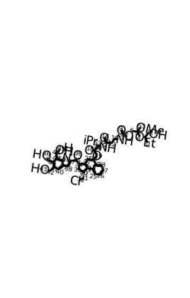 CCC(CO)OC(COC(=O)NCCC(=O)N[C@H](C(=O)Oc1cc2c(c3ccccc13)[C@H](CCl)CC2C(=O)c1cc2cc(CO)c(CO)c(CO)c2[nH]1)C(C)C)OC